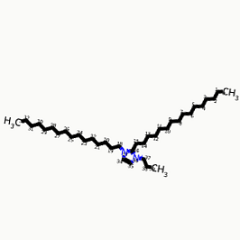 CCCCCCCCCCCCCCCCc1n(CCCCCCCCCCCCCCCC)cc[n+]1CCC